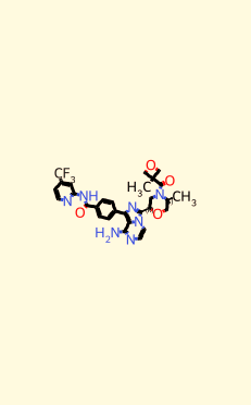 C[C@H]1CO[C@@H](c2nc(-c3ccc(C(=O)Nc4cc(C(F)(F)F)ccn4)cc3)c3c(N)nccn23)CN1C(=O)C1(C)COC1